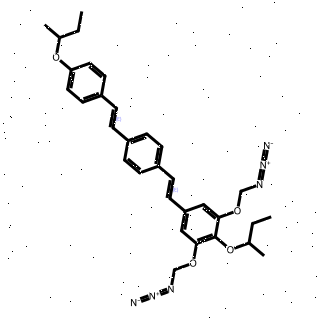 CCC(C)Oc1ccc(/C=C/c2ccc(/C=C/c3cc(OCN=[N+]=[N-])c(OC(C)CC)c(OCN=[N+]=[N-])c3)cc2)cc1